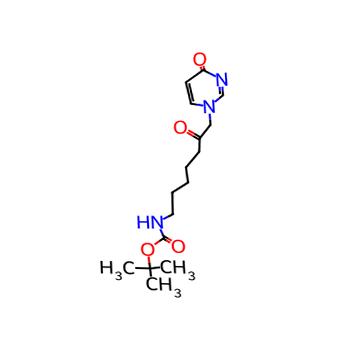 CC(C)(C)OC(=O)NCCCCCC(=O)Cn1ccc(=O)nc1